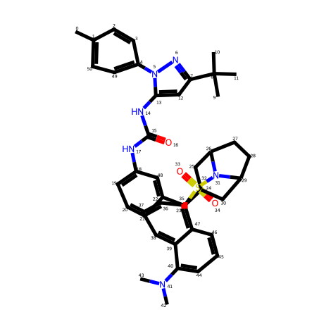 Cc1ccc(-n2nc(C(C)(C)C)cc2NC(=O)Nc2cccc(CC3CC4CCC(C3)N4S(=O)(=O)c3cccc4c(N(C)C)cccc34)c2)cc1